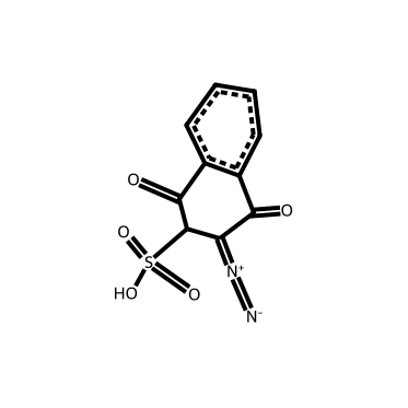 [N-]=[N+]=C1C(=O)c2ccccc2C(=O)C1S(=O)(=O)O